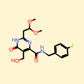 COC(Cc1nc(C(=O)NCc2ccc(F)cc2)c(CO)c(=O)[nH]1)OC